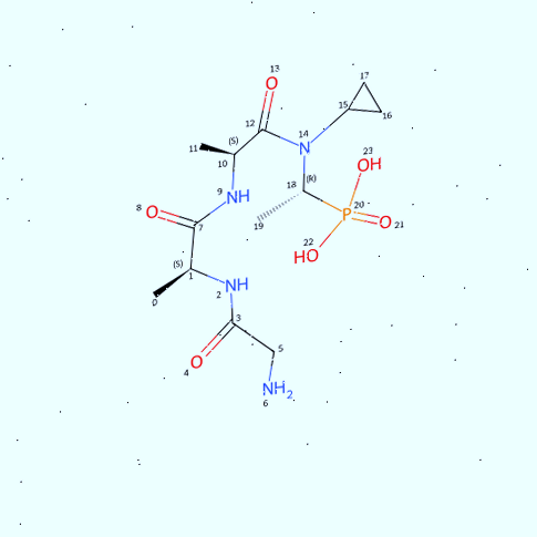 C[C@H](NC(=O)CN)C(=O)N[C@@H](C)C(=O)N(C1CC1)[C@@H](C)P(=O)(O)O